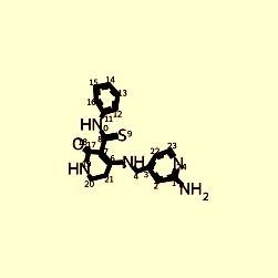 Nc1cc(CNC2=C(C(=S)Nc3ccccc3)C(=O)NCC2)ccn1